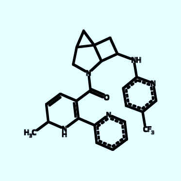 CC1C=CC(C(=O)N2CC3CC34CC(Nc3ccc(C(F)(F)F)cn3)C24)=C(c2ccccn2)N1